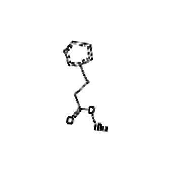 CC(C)(C)OC(=O)CCc1ccccc1